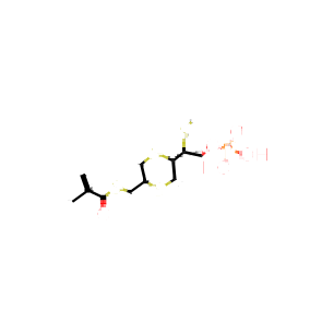 C=C(C)C(=O)SCC1CSC(C(COP(=O)(O)O)SC)CS1